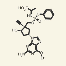 C#C[C@@]1(CO[P@@](=O)(NC(C)C(=O)O)Oc2ccccc2)C[C@H](n2cnc3c(OCC)nc(N)nc32)C[C@H]1O